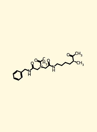 CC(=O)[C@@H](C)CCCCNC(=O)CN(CC(=O)NCc1ccccc1)C(C)=O